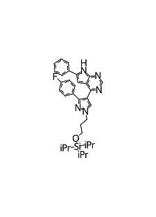 CC(C)[Si](OCCCn1cc(-c2ncnc3[nH]c(-c4ccccc4)cc23)c(-c2ccc(F)cc2)n1)(C(C)C)C(C)C